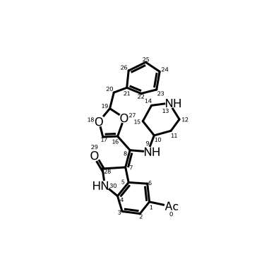 CC(=O)c1ccc2c(c1)C(=C(NC1CCNCC1)C1=COC(Cc3ccccc3)O1)C(=O)N2